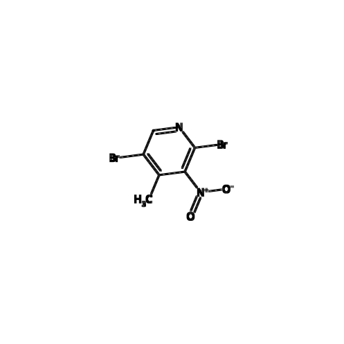 Cc1c(Br)cnc(Br)c1[N+](=O)[O-]